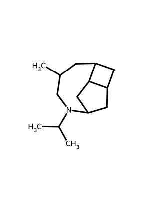 CC1CC2CC3CC(CC23)N(C(C)C)C1